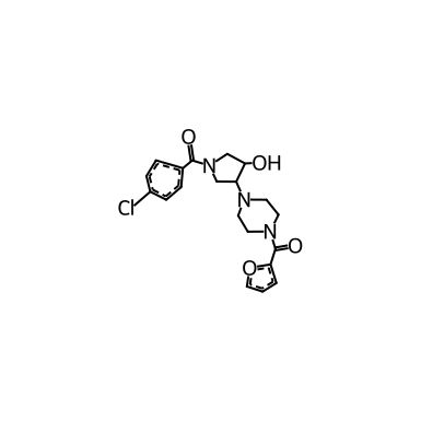 O=C(c1ccc(Cl)cc1)N1CC(O)C(N2CCN(C(=O)c3ccco3)CC2)C1